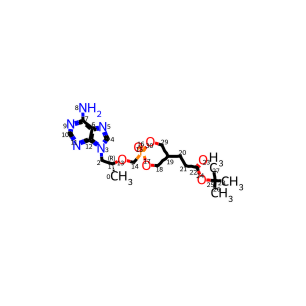 C[C@H](Cn1cnc2c(N)ncnc21)OCP1(=O)OCC(CCC(=O)OC(C)(C)C)CO1